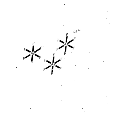 F[As-](F)(F)(F)(F)F.F[As-](F)(F)(F)(F)F.F[As-](F)(F)(F)(F)F.[La+3]